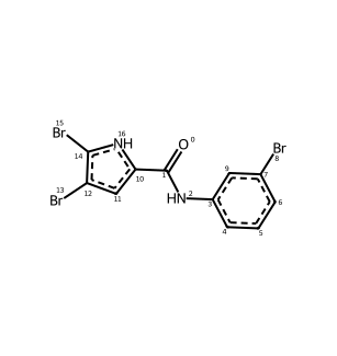 O=C(Nc1cccc(Br)c1)c1cc(Br)c(Br)[nH]1